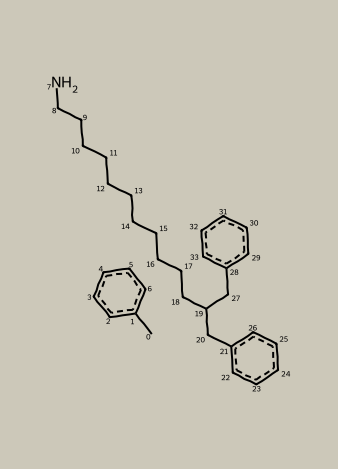 Cc1ccccc1.NCCCCCCCCCCCC(Cc1ccccc1)Cc1ccccc1